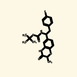 CC1Oc2ccc(C(Cc3ccc(F)cc3)NC(=O)OC(C)(C)C)cc2NC1=O